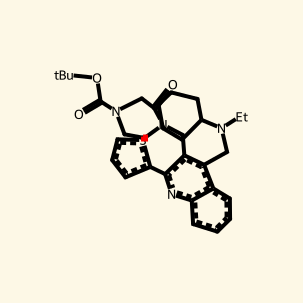 CCN(Cc1c(CN2CCN(C(=O)OC(C)(C)C)CC2=O)c(-c2cccs2)nc2ccccc12)C1CCCCC1